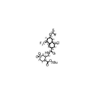 CC(C)(C)OC(=O)N1CCS(=O)(=O)CC1CNC(=O)c1cc(Cl)c2cc(OC(F)F)cc(C(F)(F)F)c2n1